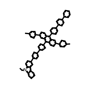 CCn1c2ccccc2c2cc(-c3ccc(-c4ccc(-c5c6ccc(-c7ccc(C)cc7)cc6c(-c6ccc(-c7ccc(-c8ccccc8)cc7)cc6)c6ccc(-c7ccc(C)cc7)cc56)cc4)cc3)ccc21